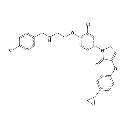 CCc1cc(N2CC=C(Oc3ccc(C4CC4)cc3)C2=O)ccc1OCCNCc1ccc(Cl)cc1